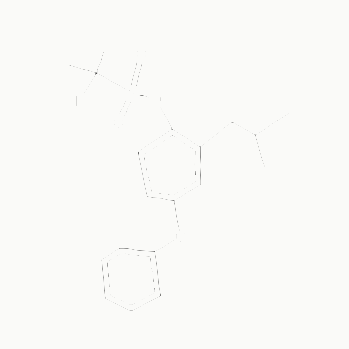 CC(C)Cc1cc(Oc2ccccc2)ccc1OS(=O)(=O)C(F)(F)F